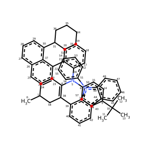 CC1C=CC(N(c2ccc(C(C)(C)C)cc2)c2ccccc2-c2cccc3cccc(C4CCCCC4)c23)=C(c2cccc3c4ccccc4n(-c4ccccc4)c23)C1